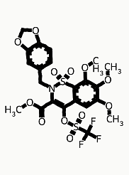 COC(=O)C1=C(OS(=O)(=O)C(F)(F)F)c2cc(OC)c(OC)c(OC)c2S(=O)(=O)N1Cc1ccc2c(c1)OCO2